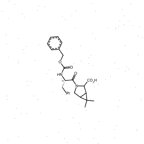 CC(C)C[C@H](NC(=O)OCc1ccccc1)C(=O)N1CC2C(C1C(=O)O)C2(C)C